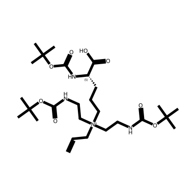 C=CC[N+](CCC[C@H](NC(=O)OC(C)(C)C)C(=O)O)(CCNC(=O)OC(C)(C)C)CCNC(=O)OC(C)(C)C